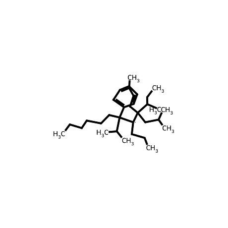 CCCCCCC([C](CCC)C(CCCC)(CC(C)C)C(C)CC)(c1ccccc1)C(C)C